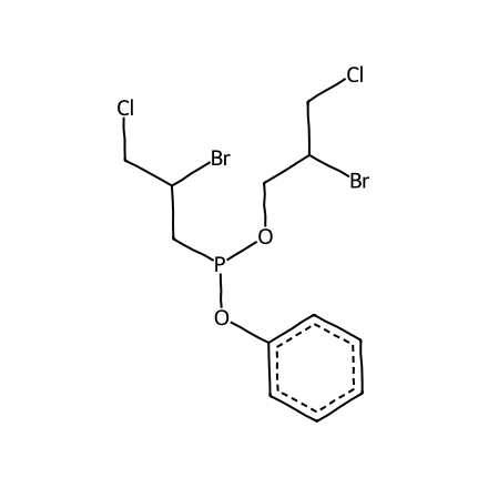 ClCC(Br)COP(CC(Br)CCl)Oc1ccccc1